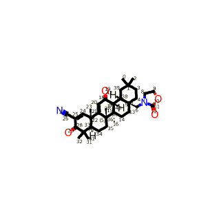 CC1(C)CC[C@]2(CN3CCOC3=O)CC[C@]3(C)[C@H](C(=O)C=C4[C@@]5(C)C=C(C#N)C(=O)C(C)(C)[C@@H]5CC[C@]43C)[C@@H]2C1